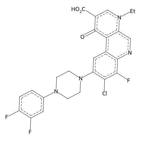 CCn1cc(C(=O)O)c(=O)c2c3cc(N4CCN(c5ccc(F)c(F)c5)CC4)c(Cl)c(F)c3ncc21